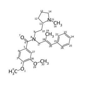 COc1ccc(C(=O)N(CCC2CCCN2C)CC(C)=Cc2ccccc2)cc1OC